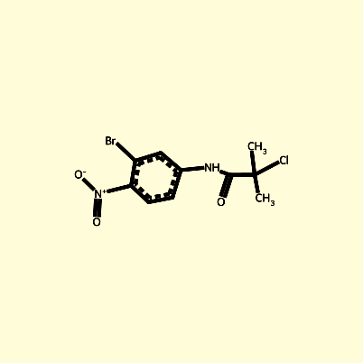 CC(C)(Cl)C(=O)Nc1ccc([N+](=O)[O-])c(Br)c1